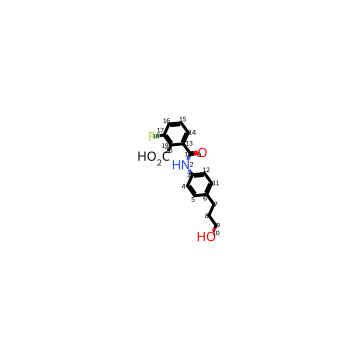 O=C(Nc1ccc(CCCO)cc1)c1cccc(F)c1C(=O)O